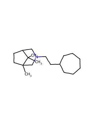 CC12CCC(CN(CCC3CCCCCC3)C1)C2(C)C